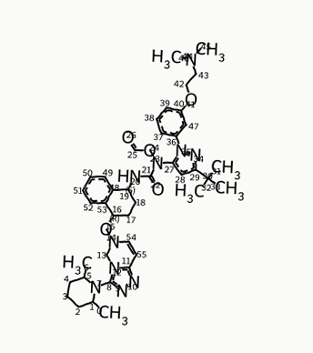 CC1CCCC(C)N1c1nnc2n1CN(O[C@@H]1CC[C@H](NC(=O)N(OC=O)c3cc(C(C)(C)C)nn3-c3cccc(OCCN(C)C)c3)c3ccccc31)C=C2